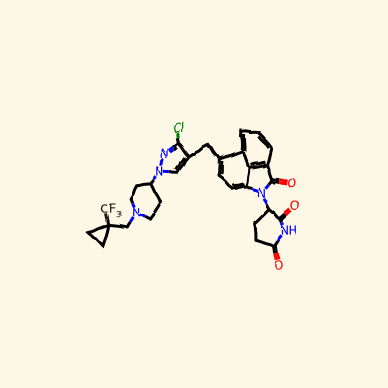 O=C1CCC(N2C(=O)c3cccc4c(Cc5cn(C6CCN(CC7(C(F)(F)F)CC7)CC6)nc5Cl)ccc2c34)C(=O)N1